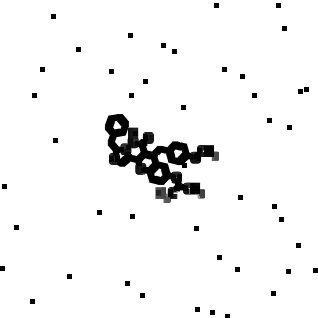 COc1ccc(CC2=C(C(=O)O)C(C3=COC(Cc4ccccc4)O3)Oc3ccc(OC(C)C)cc32)cc1